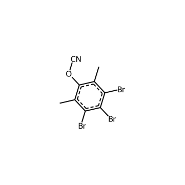 Cc1c(Br)c(Br)c(Br)c(C)c1OC#N